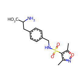 Cc1noc(C)c1S(=O)(=O)NCc1ccc(CC(N)C(=O)O)cc1